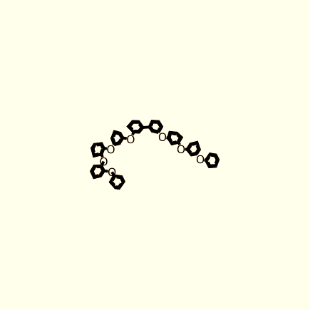 c1ccc(Oc2cccc(Oc3cccc(Oc4cccc(-c5cccc(Oc6cccc(Oc7ccccc7Oc7ccccc7Oc7ccccc7)c6)c5)c4)c3)c2)cc1